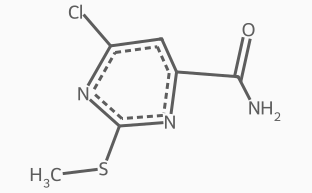 CSc1nc(Cl)cc(C(N)=O)n1